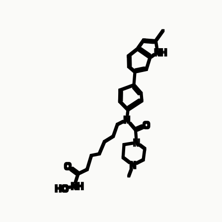 Cc1cc2ccc(-c3ccc(N(CCCCCCC(=O)NO)C(=O)N4CCN(C)CC4)cc3)cc2[nH]1